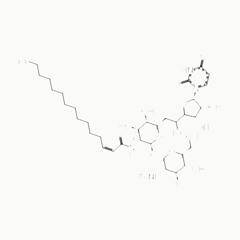 CC(=O)N[C@@H]1[C@H](O[C@@H]2O[C@H](CC(O)C3O[C@@H](n4ccc(=O)[nH]c4=O)[C@H](O)[C@@H]3O)[C@H](O)[C@H](O)[C@H]2NC(=O)/C=C\CCCCCCCCCCCC(C)C)O[C@@H](CO)[C@H](O)[C@H]1O